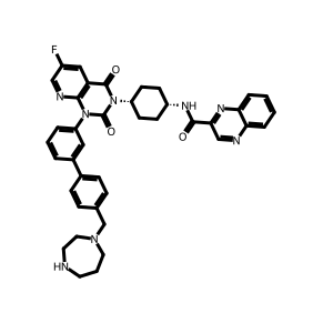 O=C(N[C@H]1CC[C@@H](n2c(=O)c3cc(F)cnc3n(-c3cccc(-c4ccc(CN5CCCNCC5)cc4)c3)c2=O)CC1)c1cnc2ccccc2n1